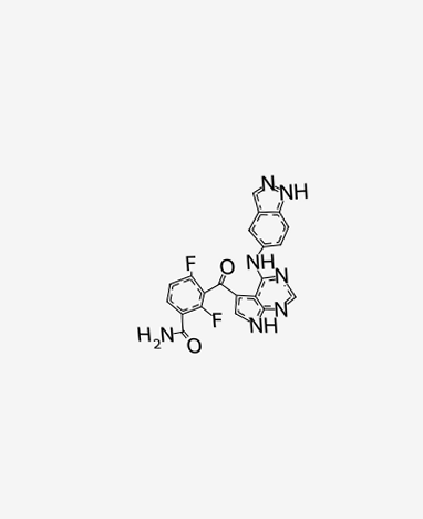 NC(=O)c1ccc(F)c(C(=O)c2c[nH]c3ncnc(Nc4ccc5[nH]ncc5c4)c23)c1F